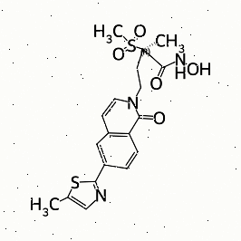 Cc1cnc(-c2ccc3c(=O)n(CC[C@](C)(C(=O)NO)S(C)(=O)=O)ccc3c2)s1